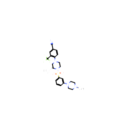 C[C@@H]1CN(c2ccc(C#N)cc2C(F)(F)F)CCN1S(=O)(=O)c1cccc(N2CCN(C)CC2)c1